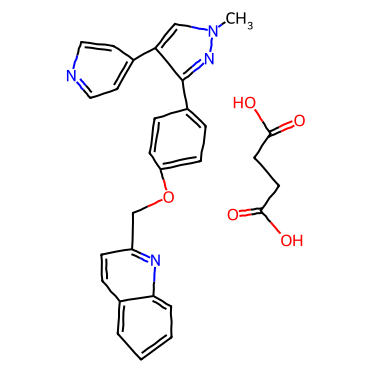 Cn1cc(-c2ccncc2)c(-c2ccc(OCc3ccc4ccccc4n3)cc2)n1.O=C(O)CCC(=O)O